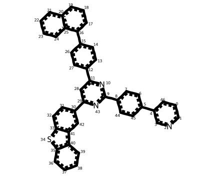 c1cncc(-c2ccc(-c3nc(-c4ccc(-c5cccc6ccccc56)cc4)cc(-c4ccc5sc6ccccc6c5c4)n3)cc2)c1